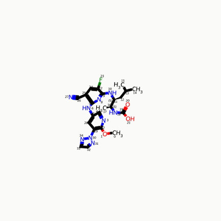 COc1ncc(Nc2nc(N[C@@H](CC(C)C)[C@H](C)NC(=O)O)c(F)cc2C#N)cc1-n1nccn1